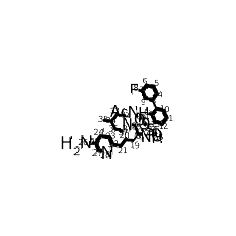 CC(=O)Nc1c(-c2cccc(F)c2)cccc1S(=O)(=O)N[C@@H](CCCc1ccc(N)cn1)C(=O)N1CCC(C)CC1